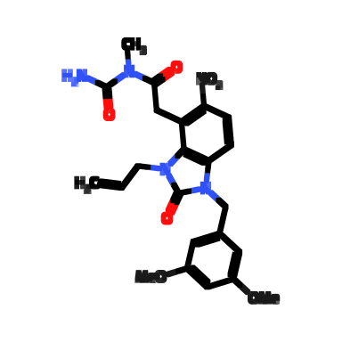 C=CCn1c(=O)n(Cc2cc(OC)cc(OC)c2)c2ccc([N+](=O)[O-])c(CC(=O)N(C)C(N)=O)c21